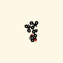 c1ccc(-n2c(-c3cc(-c4ccc(-c5ccc6c(c5)C5(c7ccccc7Oc7ccccc75)c5ccccc5-6)c5ccccc45)cc(-c4nc5ccccc5n4-c4ccccc4)c3)nc3ccccc32)cc1